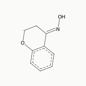 ON=C1C[CH]Oc2ccccc21